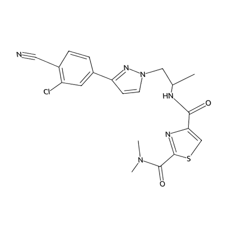 CC(Cn1ccc(-c2ccc(C#N)c(Cl)c2)n1)NC(=O)c1csc(C(=O)N(C)C)n1